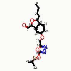 CCCCC1OC(C=O)c2cc(OCc3nnc(OSC(C)C)o3)ccc21